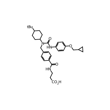 CC(C)(C)C1CCC(N(Cc2ccc(C(=O)NCCC(=O)O)cc2)C(=O)Nc2ccc(OCC3CC3)cc2)CC1